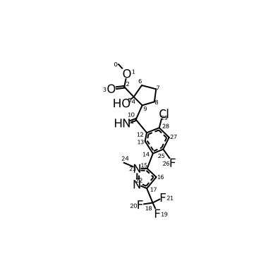 COC(=O)C1(O)CCCC1C(=N)c1cc(-c2cc(C(F)(F)F)nn2C)c(F)cc1Cl